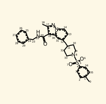 Cc1ccc(S(=O)(=O)N2CCC(c3ccn4nc(C)c(C(=O)NCc5ccccc5)c4c3)CC2)cc1